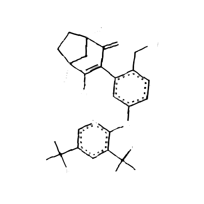 CCc1ccc(Oc2ncc(C(F)(F)F)cc2C(F)(F)F)cc1C1=C(O)[C@H]2CC[C@H](C2)C1=O